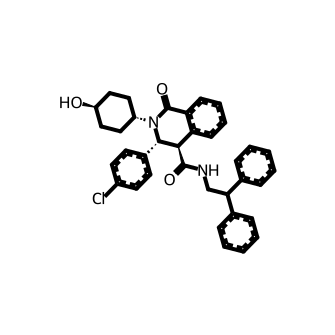 O=C(NCC(c1ccccc1)c1ccccc1)[C@@H]1c2ccccc2C(=O)N([C@H]2CC[C@H](O)CC2)[C@H]1c1ccc(Cl)cc1